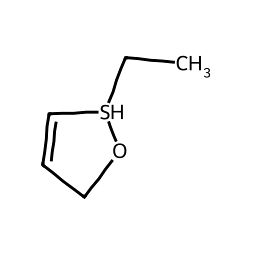 CC[SH]1C=CCO1